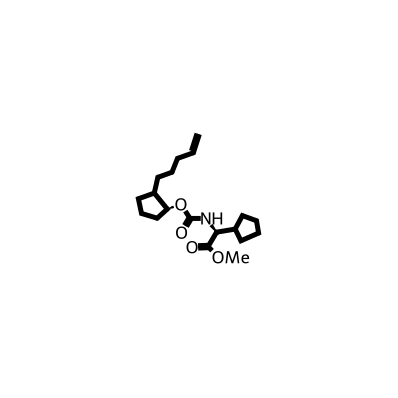 C=CCCCC1CCC[C@H]1OC(=O)N[C@H](C(=O)OC)C1CCCC1